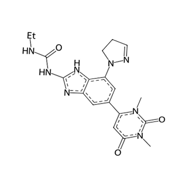 CCNC(=O)Nc1nc2cc(-c3cc(=O)n(C)c(=O)n3C)cc(N3CCC=N3)c2[nH]1